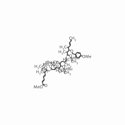 C=CC=C[C@H](C)[C@H](OCc1ccc(OC)cc1)[C@@H](C)[C@@H](CC[C@H](C)C[C@H](C)[C@@H](O[Si](C)(C)C(C)(C)C)[C@@H](C)C=C[C@H](C[C@H](O[Si](C)(C)C(C)(C)C)[C@H](C)C=CC=CC(=O)OC)O[Si](C)(C)C(C)(C)C)O[Si](C)(C)C(C)(C)C